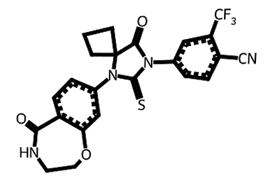 N#Cc1ccc(N2C(=O)C3(CCC3)N(c3ccc4c(c3)OCCNC4=O)C2=S)cc1C(F)(F)F